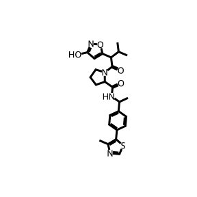 Cc1ncsc1-c1ccc(C(C)NC(=O)C2CCCN2C(=O)C(c2cc(O)no2)C(C)C)cc1